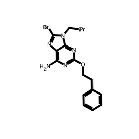 CC(C)Cn1c(Br)nc2c(N)nc(OCCc3ccccc3)nc21